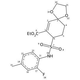 CCOC(=O)C1=CC2(CCC1S(=O)(=O)Nc1ccc(C)cc1F)OCCO2